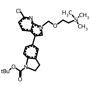 CC(C)(C)OC(=O)N1CCc2cc(-c3cn(COCC[Si](C)(C)C)c4nc(Cl)ccc34)ccc21